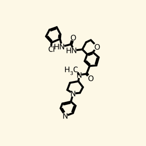 CN(C(=O)c1ccc2c(c1)C(NC(=O)Nc1ccccc1Cl)CCO2)C1CCN(c2ccncc2)CC1